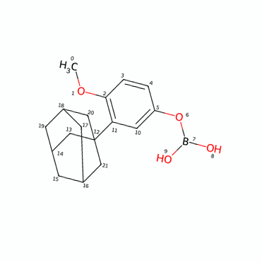 COc1ccc(OB(O)O)cc1C12CC3CC(CC(C3)C1)C2